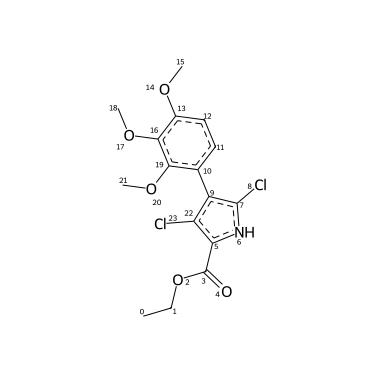 CCOC(=O)c1[nH]c(Cl)c(-c2ccc(OC)c(OC)c2OC)c1Cl